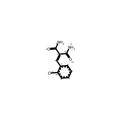 NC(=O)C(=Cc1ccccc1Cl)C(N)=O